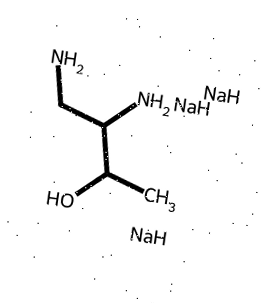 CC(O)C(N)CN.[NaH].[NaH].[NaH]